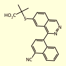 CC(C)(Sc1ccc2cnnc(-c3ccc(C#N)c4ccccc34)c2c1)C(=O)O